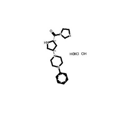 Cl.Cl.Cl.O=C([C@@H]1C[C@H](N2CCN(c3ccccc3)CC2)CN1)N1CCSC1